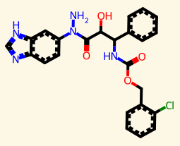 NN(C(=O)C(O)C(NC(=O)OCc1ccccc1Cl)c1ccccc1)c1ccc2nc[nH]c2c1